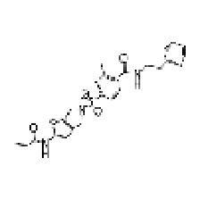 C=CC(=O)Nc1cc2c(s1)CN(S(=O)(=O)c1ccc(C(=O)NCCc3ccccc3)c(C)c1)C2